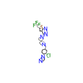 FC(F)(F)Cc1cc2c(N3CCC4(CCN(Cc5ccc(-n6ccnc6)c(Cl)c5)C4)C3)ncnc2s1